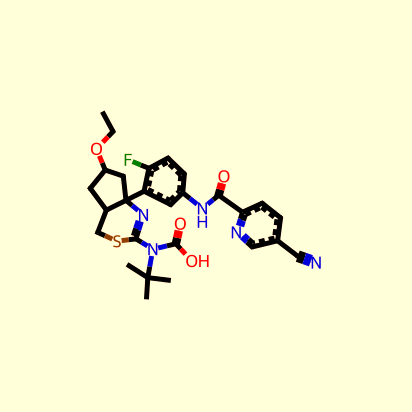 CCOC1CC2CSC(N(C(=O)O)C(C)(C)C)=NC2(c2cc(NC(=O)c3ccc(C#N)cn3)ccc2F)C1